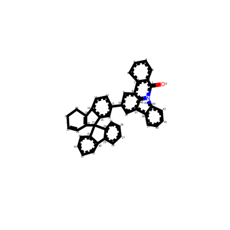 O=c1c2ccccc2c2cc(-c3ccc4c(c3)C3(C5=C4CCC=C5)c4ccccc4-c4ccccc43)cc3c4ccccc4n1c23